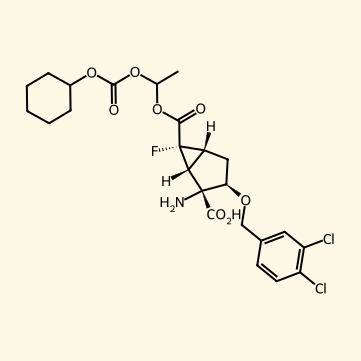 CC(OC(=O)OC1CCCCC1)OC(=O)[C@@]1(F)[C@@H]2C[C@@H](OCc3ccc(Cl)c(Cl)c3)[C@@](N)(C(=O)O)[C@@H]21